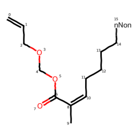 C=CCOCOC(=O)C(C)=CCCCCCCCCCCCCC